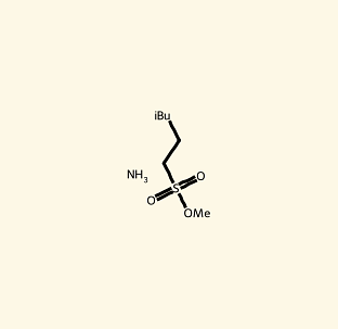 CCC(C)CCS(=O)(=O)OC.N